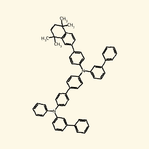 CC1(C)CCC(C)(C)c2cc(-c3ccc(N(c4ccc(-c5ccc(N(c6ccccc6)c6cccc(-c7ccccc7)c6)cc5)cc4)c4cccc(-c5ccccc5)c4)cc3)ccc21